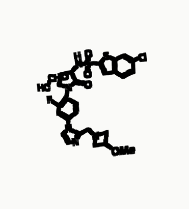 COC1CN(Cc2nccn2-c2ccc(N3CCC(NS(=O)(=O)c4cc5ccc(Cl)cc5s4)C3=O)c(F)c2)C1.O=CO